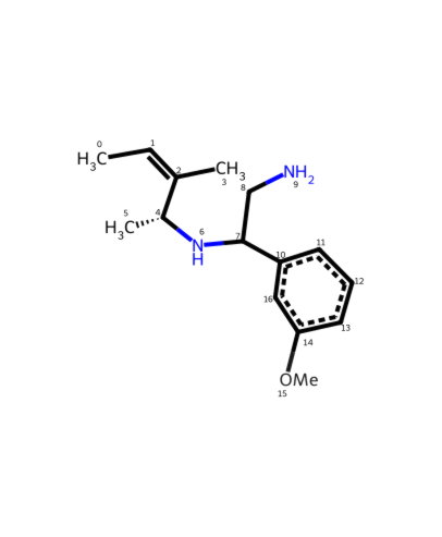 C/C=C(/C)[C@@H](C)NC(CN)c1cccc(OC)c1